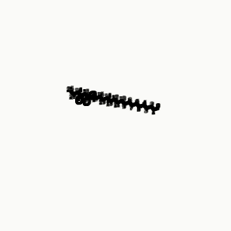 CCCCCCCCCCCCCCCCCCOC(=O)CC(=O)CCC